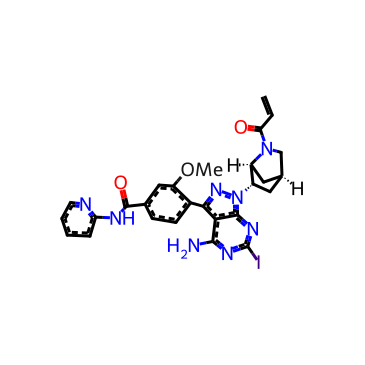 C=CC(=O)N1C[C@@H]2C[C@H]1[C@@H](n1nc(-c3ccc(C(=O)Nc4ccccn4)cc3OC)c3c(N)nc(I)nc31)C2